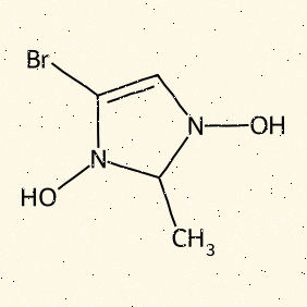 CC1N(O)C=C(Br)N1O